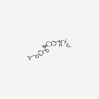 COCC(C)(C)CNCc1ccc2c(c1)CC[C@H](N(C)C(=O)c1ccc(OCC3CC3)cc1)C2